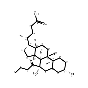 CCCC(=O)[C@]1(O)CC2C[C@@H](O)CC[C@]2(C)[C@H]2CC[C@]3(C)[C@@H]([C@H](C)CCC(=O)O)CC[C@H]3[C@@H]21